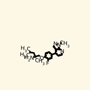 CC(C)C[C@](C)(N)COc1ccc(-c2ccnc3c2cnn3C)cc1F